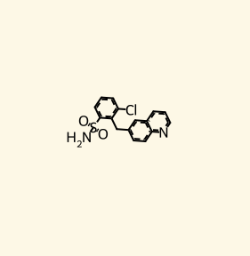 NS(=O)(=O)c1cccc(Cl)c1Cc1ccc2ncccc2c1